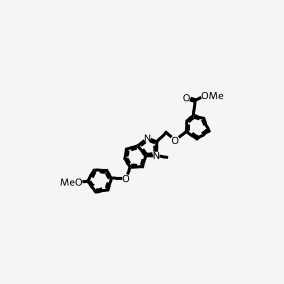 COC(=O)c1cccc(OCc2nc3ccc(Oc4ccc(OC)cc4)cc3n2C)c1